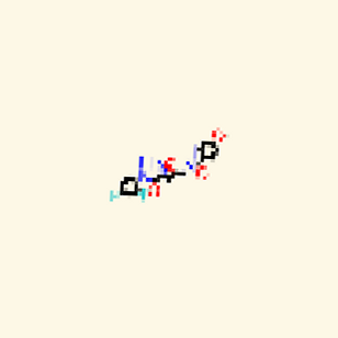 COc1ccc(C(=O)NCc2cc(C(=O)Nc3ccc(F)cc3F)no2)cc1